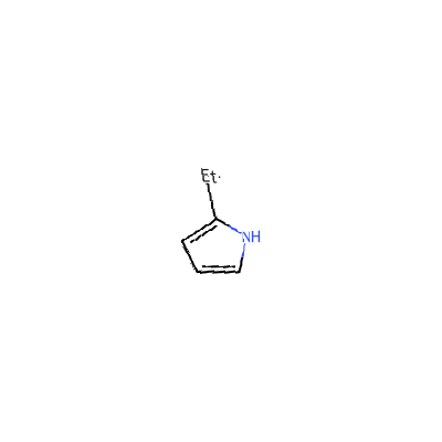 C[CH]c1ccc[nH]1